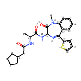 C[C@H](NC(=O)CC1CCCC1)C(=O)NC1N=C(c2cccs2)c2ccccc2N(C)C1=O